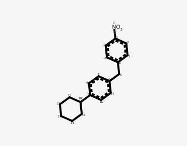 O=[N+]([O-])c1ccc(Cc2ccc(C3CCCCC3)cc2)cc1